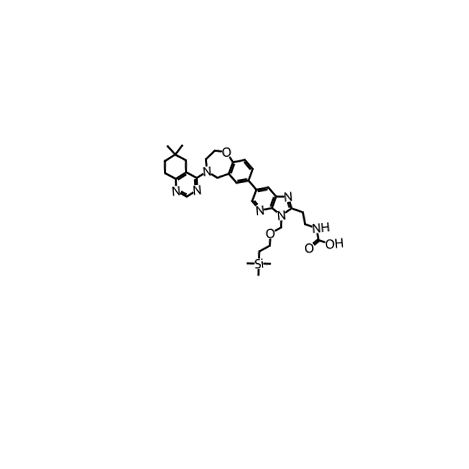 CC1(C)CCc2ncnc(N3CCOc4ccc(-c5cnc6c(c5)nc(CCNC(=O)O)n6COCC[Si](C)(C)C)cc4C3)c2C1